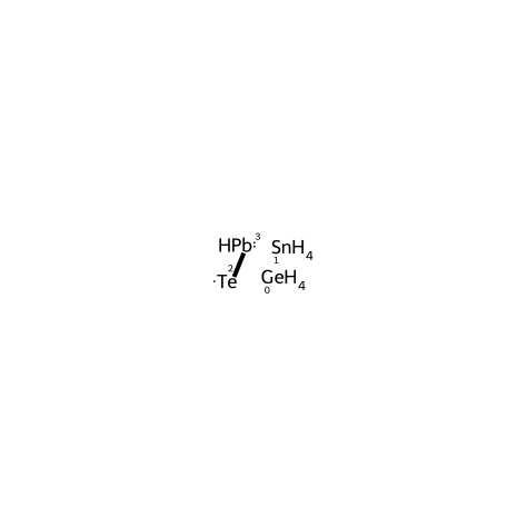 [GeH4].[SnH4].[Te][PbH]